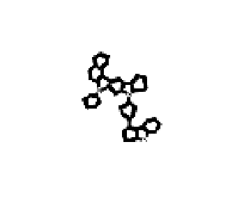 C1=Cc2c(sc3cccc(-c4ccc(-n5c6ccccc6c6cc7c8c9ccccc9ccc8n(-c8ccccc8)c7cc65)cc4)c23)CC1